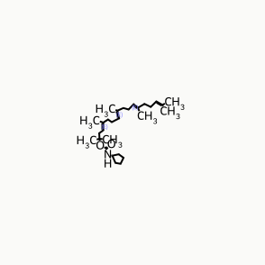 CC(C)=CCC/C(C)=C/CC/C(C)=C/CC/C(C)=C/CC(C)(C)OC(=O)NC1CCCC1